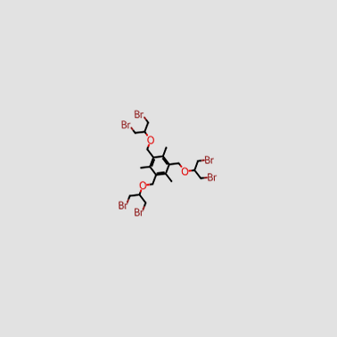 Cc1c(COC(CBr)CBr)c(C)c(COC(CBr)CBr)c(C)c1COC(CBr)CBr